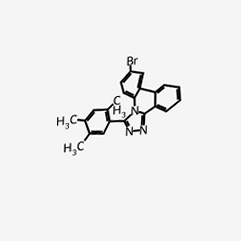 Cc1cc(C)c(-c2nnc3c4ccccc4c4cc(Br)ccc4n23)cc1C